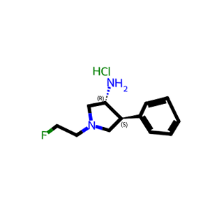 Cl.N[C@H]1CN(CCF)C[C@@H]1c1ccccc1